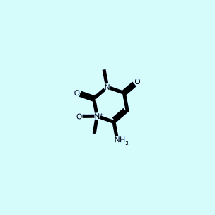 CN1C(=O)C=C(N)[N+](C)([O-])C1=O